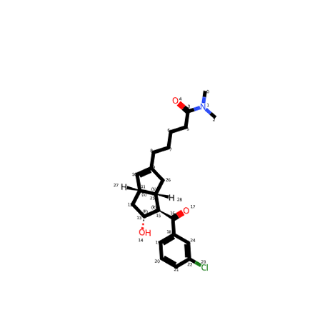 CN(C)C(=O)CCCCC1=C[C@H]2C[C@@H](O)[C@H](C(=O)c3cccc(Cl)c3)[C@H]2C1